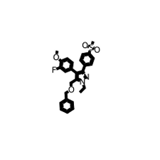 CCn1nc(-c2ccc(S(C)(=O)=O)cc2)c(-c2ccc(OC)c(F)c2)c1COCc1ccccc1